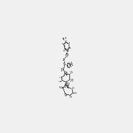 O[C@@H](COc1ccc(F)cc1)CN1CCC(N2CCCCC2)CC1